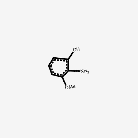 COc1cc[c]c(O)c1N